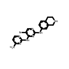 Nc1ccnc(Nc2nc(Nc3ccc4c(c3)CNCC4)ncc2Br)n1